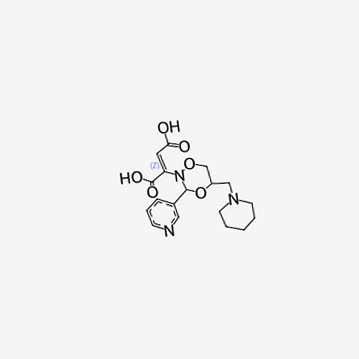 O=C(O)/C=C(/C(=O)O)N1OCC(CN2CCCCC2)OC1c1cccnc1